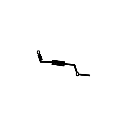 COCC#CC=O